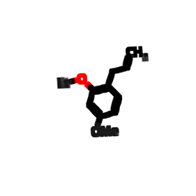 C=CCc1ccc(OC)cc1OCC